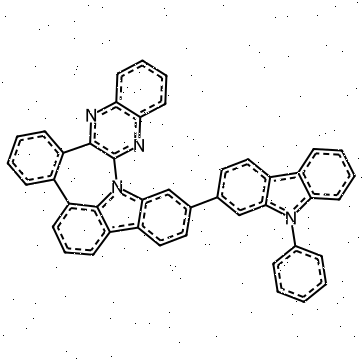 c1ccc(-n2c3ccccc3c3ccc(-c4ccc5c6cccc7c6n(c5c4)-c4nc5ccccc5nc4-c4ccccc4-7)cc32)cc1